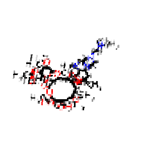 CC[C@H]1OC(=O)[C@H](C)[C@@H](O[C@H]2C[C@@](C)(OC)[C@@H](OC(C)=O)[C@H](C)O2)[C@H](C)[C@@H](O[C@@H]2O[C@H](C)C[C@@H](N3CCN(CCN(C)C)CC3)[C@@H]2N(C)C)[C@@](C)(OC)C[C@@H](C)C(=O)[C@H](C)[C@@H](O)[C@]1(C)O